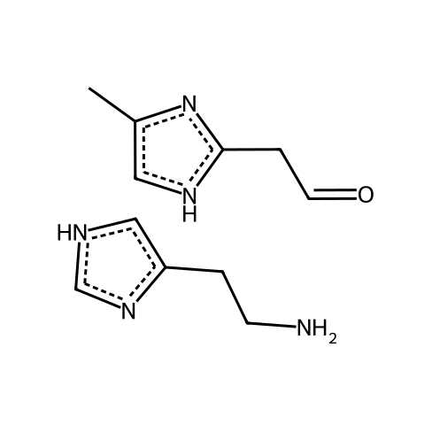 Cc1c[nH]c(CC=O)n1.NCCc1c[nH]cn1